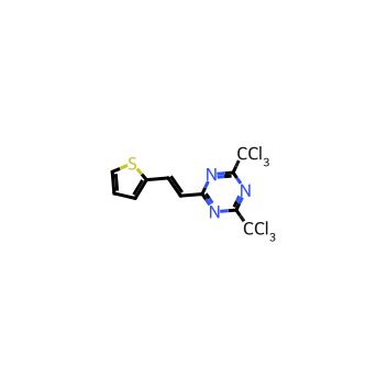 ClC(Cl)(Cl)c1nc(/C=C/c2cccs2)nc(C(Cl)(Cl)Cl)n1